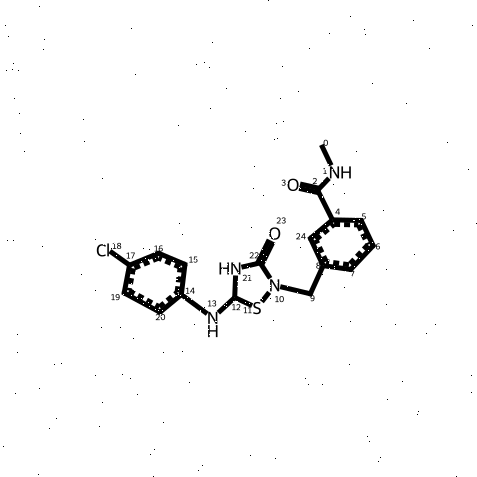 CNC(=O)c1cccc(CN2SC(Nc3ccc(Cl)cc3)NC2=O)c1